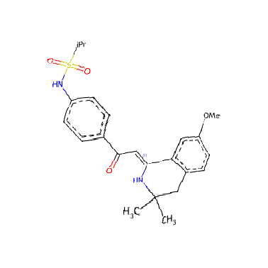 COc1ccc2c(c1)/C(=C/C(=O)c1ccc(NS(=O)(=O)C(C)C)cc1)NC(C)(C)C2